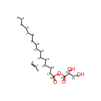 C=CC.CCCCCCCCCCCCCCCC(=O)OC(=O)C(O)CO